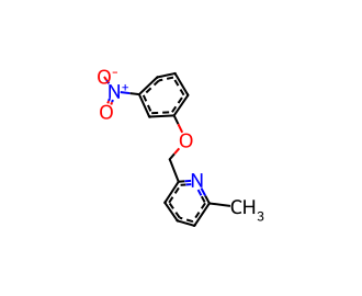 Cc1cccc(COc2cccc([N+](=O)[O-])c2)n1